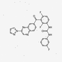 O=C(Nc1cccc(F)c1)Nc1ccc(F)c(C(=O)c2ccc3ncc(-n4cccn4)nc3c2)c1F